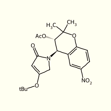 CC(=O)O[C@H]1[C@H](N2CC(OC(C)(C)C)=CC2=O)c2cc([N+](=O)[O-])ccc2OC1(C)C